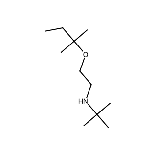 CCC(C)(C)OCCNC(C)(C)C